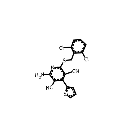 N#Cc1c(N)nc(SCc2c(Cl)cccc2Cl)c(C#N)c1-c1cccs1